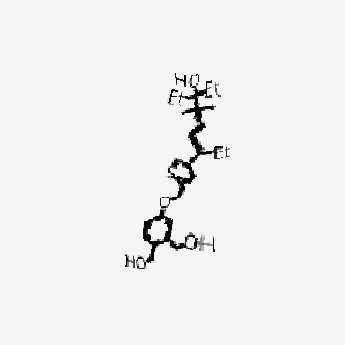 CCC(=CCC(C)(C)C(O)(CC)CC)c1csc(COc2ccc(CO)c(CO)c2)c1